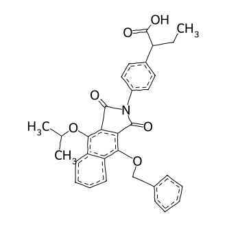 CCC(C(=O)O)c1ccc(N2C(=O)c3c(c(OC(C)C)c4ccccc4c3OCc3ccccc3)C2=O)cc1